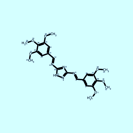 COc1cc(C=Nc2n[nH]c(N=Cc3cc(OC)c(OC)c(OC)c3)n2)cc(OC)c1OC